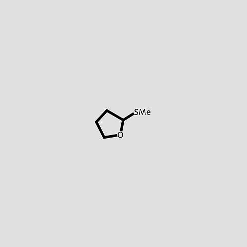 [CH2]SC1CCCO1